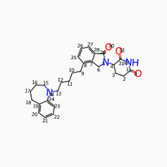 O=C1CCC(N2Cc3c(CCCCCN4CCCCc5ccccc54)cccc3C2=O)C(=O)N1